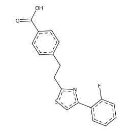 O=C(O)c1ccc(CCc2nc(-c3ccccc3F)cs2)cc1